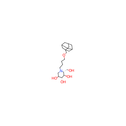 OC[C@@H]1[C@@H](O)[C@H](O)[C@@H](O)CN1CCCCOCC12CC3CC(CC(C3)C1)C2